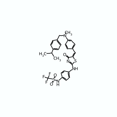 CC(C)c1ccc(CN(C)c2ccc(C=C3SC(Nc4ccc(NS(=O)(=O)C(F)(F)F)cc4)=NC3=O)cc2)cc1